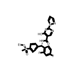 CCOP(C)(=O)c1ccc([C@H](NC(=O)c2cnc(-n3cccn3)nc2O)c2ccc(F)cc2F)cc1